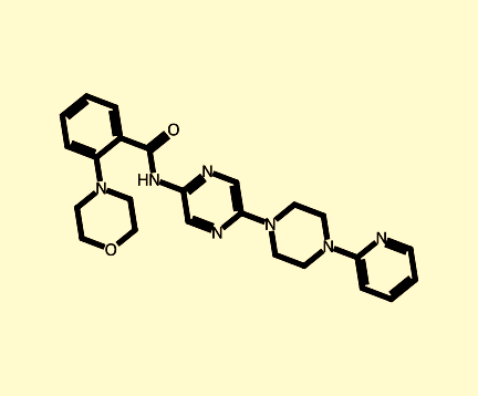 O=C(Nc1cnc(N2CCN(c3ccccn3)CC2)cn1)c1ccccc1N1CCOCC1